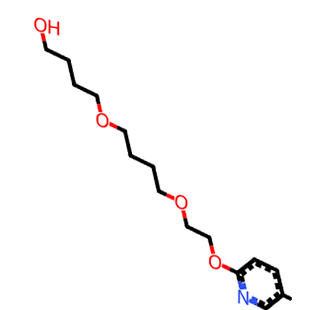 OCCCCOCCCCOCCOc1ccc(Br)cn1